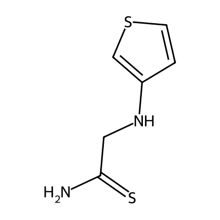 NC(=S)CNc1ccsc1